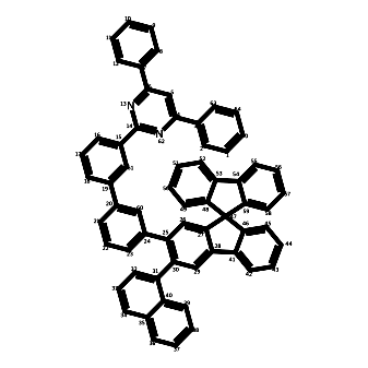 c1ccc(-c2cc(-c3ccccc3)nc(-c3cccc(-c4cccc(-c5cc6c(cc5-c5cccc7ccccc57)-c5ccccc5C65c6ccccc6-c6ccccc65)c4)c3)n2)cc1